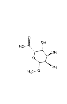 CO[C@@H]1O[C@H](C(=O)O)[C@H](O)[C@@H](O)[C@H]1O